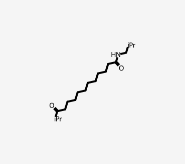 CC(C)CNC(=O)CCCCCCCCCCC(=O)C(C)C